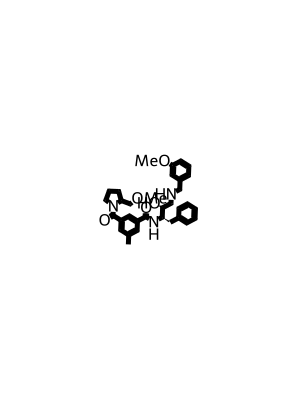 COCC1CCCN1C(=O)c1cc(C)cc(C(=O)N[C@@H](Cc2ccccc2)[C@H](O)CNCc2cccc(OC)c2)c1